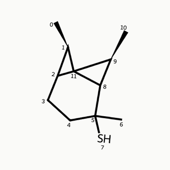 C[C@@H]1C2CCC(C)(S)C3[C@H](C)C231